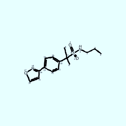 CCCNS(=O)(=O)C(C)(C)c1ccc(-c2ccon2)cc1